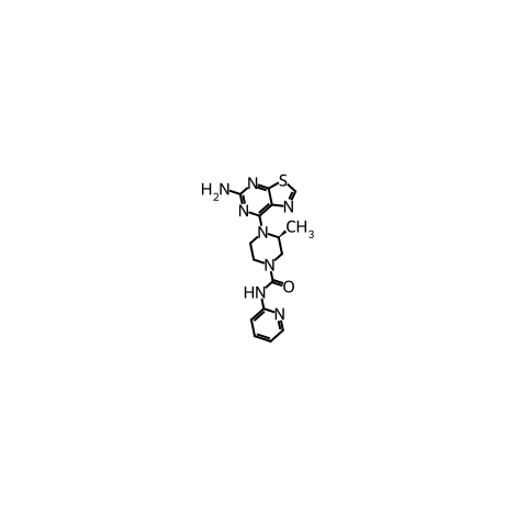 C[C@H]1CN(C(=O)Nc2ccccn2)CCN1c1nc(N)nc2scnc12